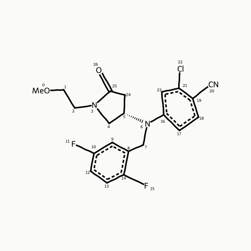 COCCN1C[C@@H](N(Cc2cc(F)ccc2F)c2ccc(C#N)c(Cl)c2)CC1=O